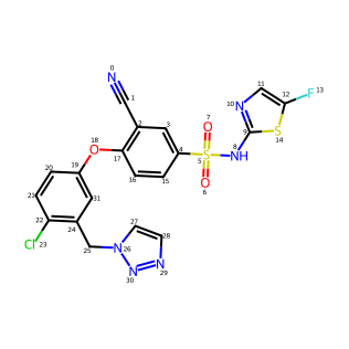 N#Cc1cc(S(=O)(=O)Nc2ncc(F)s2)ccc1Oc1ccc(Cl)c(Cn2ccnn2)c1